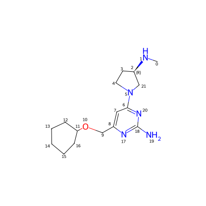 CN[C@@H]1CCN(c2cc(COC3CCCCC3)nc(N)n2)C1